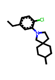 CCc1ccc(Cl)c(N2CCC3(CCC(C)CC3)C2)c1